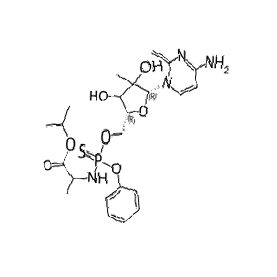 C=C1N=C(N)C=CN1[C@@H]1O[C@H](COP(=S)(NC(C)C(=O)OC(C)C)Oc2ccccc2)C(O)C1(C)O